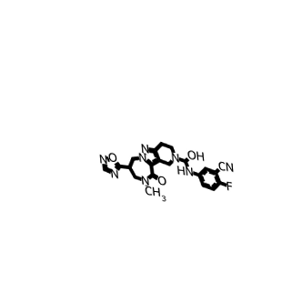 CN1CC(c2ncno2)Cn2nc3c(c2C1=O)CN(C(O)Nc1ccc(F)c(C#N)c1)CC3